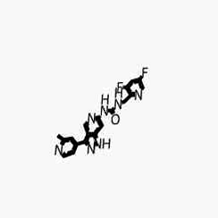 Cc1cc(-c2n[nH]c3cc(NC(=O)NCc4ncc(F)cc4F)ncc23)ccn1